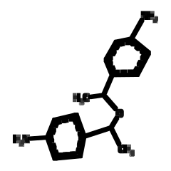 CC(OC(C)c1ccc(N)cc1)c1ccc(N)cc1